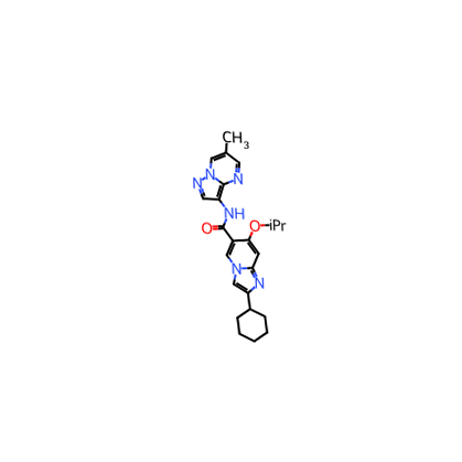 Cc1cnc2c(NC(=O)c3cn4cc(C5CCCCC5)nc4cc3OC(C)C)cnn2c1